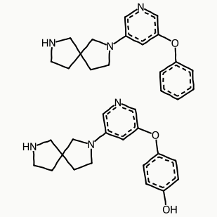 Oc1ccc(Oc2cncc(N3CCC4(CCNC4)C3)c2)cc1.c1ccc(Oc2cncc(N3CCC4(CCNC4)C3)c2)cc1